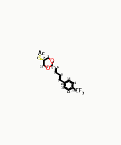 CC(=O)S[C@H]1CO[C@H](/C=C/C=C/c2ccc(C(F)(F)F)cc2)OC1